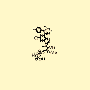 CO[C@H](COP(=O)(O)CP(=O)(O)O)[C@@H](O)[C@H](F)n1cnc2c(N[C@@H](C)c3ccc(F)cc3)nc(Cl)nc21